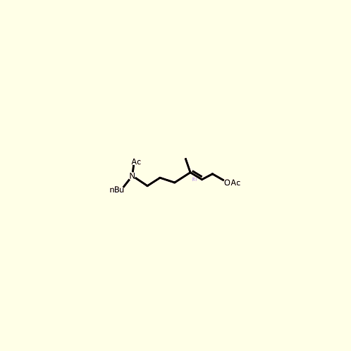 CCCCN(CCC/C(C)=C/COC(C)=O)C(C)=O